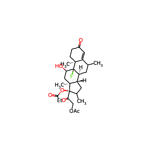 CCC(=O)O[C@]1(C(=O)COC(C)=O)C(C)C[C@H]2[C@@H]3CC(C)C4=CC(=O)CC[C@]4(C)[C@@]3(F)C(O)C[C@@]21C